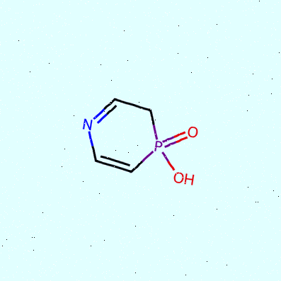 O=P1(O)C=CN=CC1